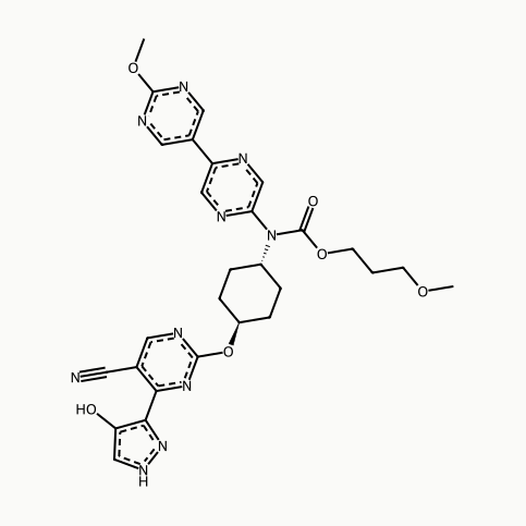 COCCCOC(=O)N(c1cnc(-c2cnc(OC)nc2)cn1)[C@H]1CC[C@H](Oc2ncc(C#N)c(-c3n[nH]cc3O)n2)CC1